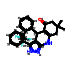 CC1(C)CC(=O)C2=C(C1)Nc1n[nH]c(-c3ccccc3)c1C2c1ccccc1C(F)(F)F